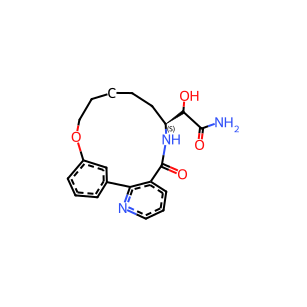 NC(=O)C(O)[C@@H]1CCCCCOc2cccc(c2)-c2ncccc2C(=O)N1